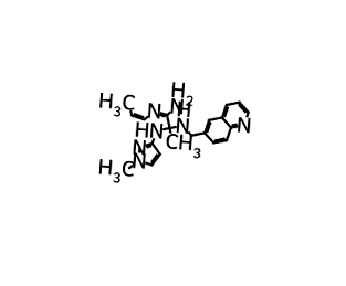 C/C=C\N=C(\N)C(C)(NCc1ccc2ncccc2c1)Nc1ccn(C)n1